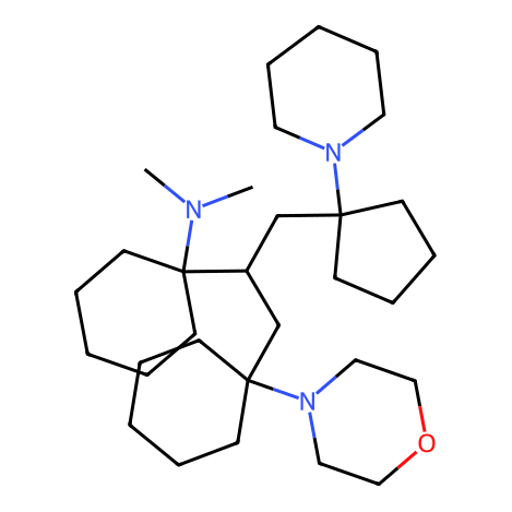 CN(C)C1(C(CC2(N3CCCCC3)CCCC2)CC2(N3CCOCC3)CCCCC2)CCCCC1